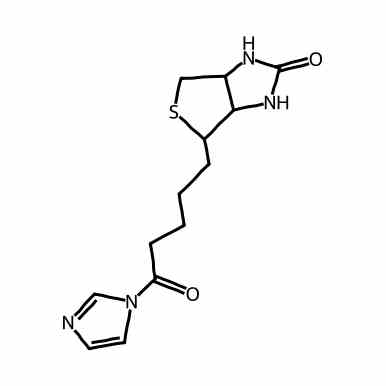 O=C1NC2CSC(CCCCC(=O)n3ccnc3)C2N1